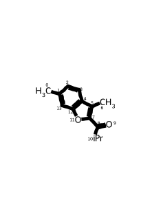 Cc1ccc2c(C)c(C(=O)C(C)C)oc2c1